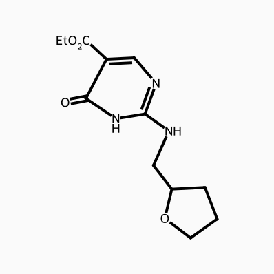 CCOC(=O)c1cnc(NCC2CCCO2)[nH]c1=O